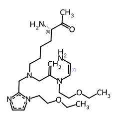 C=C(CN(CCCC[C@H](N)C(C)=O)Cc1nccn1CCOCC)N(/C=C\N)CCOCC